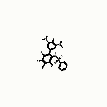 Cc1c(N(C)C)cc(-c2c(F)c(F)c(F)c(F)c2NS(=O)(=O)c2ccccc2)cc1N(C)C